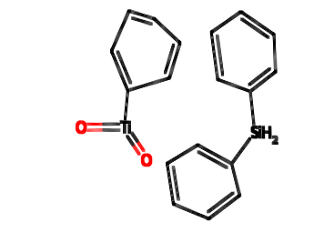 [O]=[Ti](=[O])[c]1ccccc1.c1ccc([SiH2]c2ccccc2)cc1